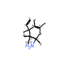 C=CC1(C)C(C)=C(C)CC(C)(N)C1(C)C